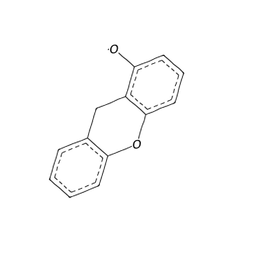 [O]c1cccc2c1Cc1ccccc1O2